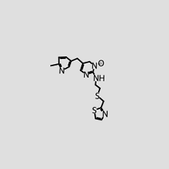 Cc1ccc(CC2=CN=C(NCCSCc3nccs3)[N+](=O)C2)cn1